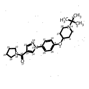 CC(C)(C)N1CCC(Oc2ccc(-n3cc(C(=O)N4CCCC4)cn3)cc2)CC1